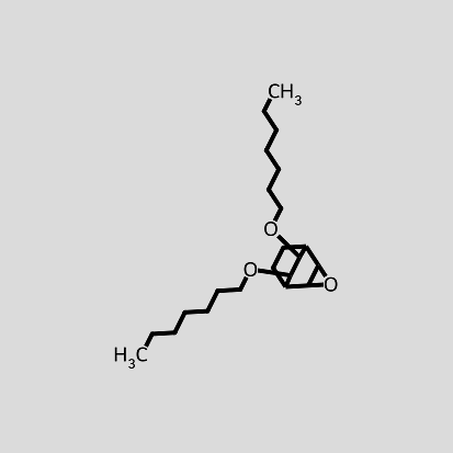 CCCCCCCOC1C2CCC(C1OCCCCCCC)C1OC21